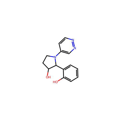 Oc1ccccc1C1C(O)CCN1c1ccnnc1